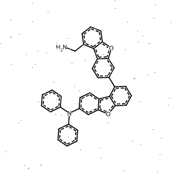 NCc1cccc2oc3cc(-c4cccc5oc6cc(N(c7ccccc7)c7ccccc7)ccc6c45)ccc3c12